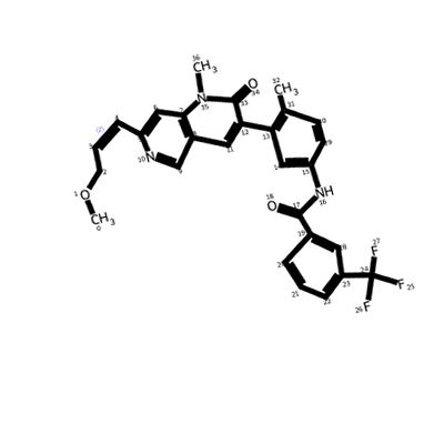 COC/C=C\c1cc2c(cn1)cc(-c1cc(NC(=O)c3cccc(C(F)(F)F)c3)ccc1C)c(=O)n2C